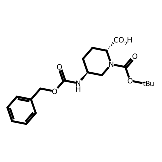 CC(C)(C)OC(=O)N1C[C@@H](NC(=O)OCc2ccccc2)CC[C@@H]1C(=O)O